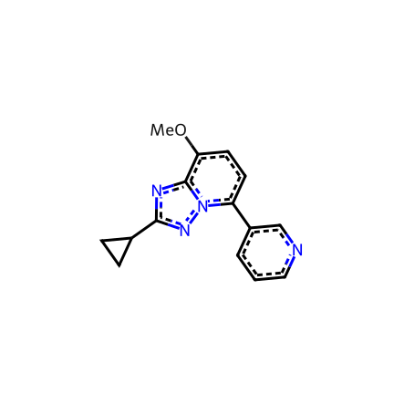 COc1ccc(-c2cccnc2)n2nc(C3CC3)nc12